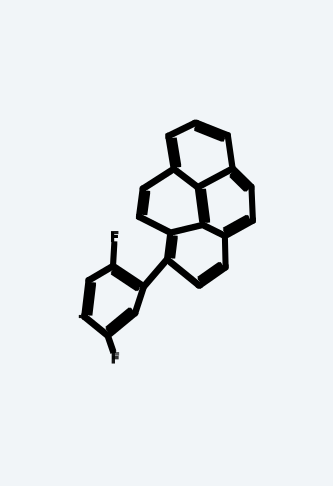 Fc1[c]cc(F)c(-c2ccc3ccc4cccc5ccc2c3c45)c1